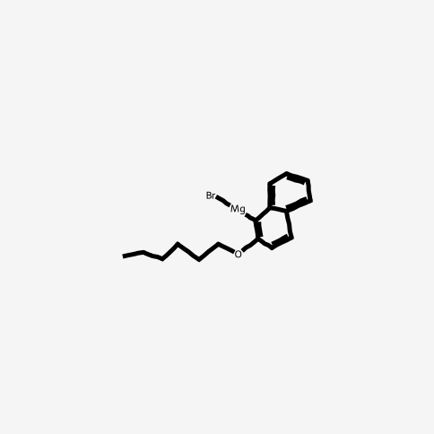 CCCCCCOc1ccc2ccccc2[c]1[Mg][Br]